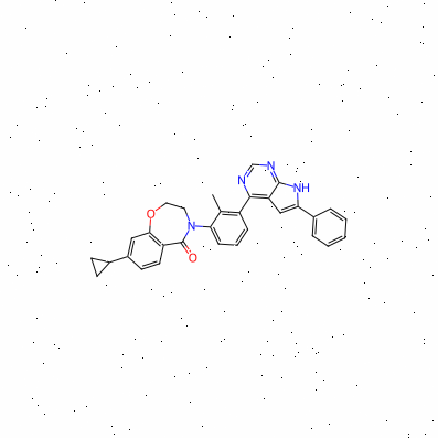 Cc1c(-c2ncnc3[nH]c(-c4ccccc4)cc23)cccc1N1CCOc2cc(C3CC3)ccc2C1=O